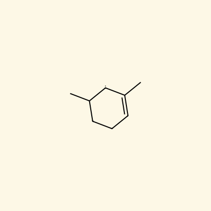 CC1=CCCC(C)[CH]1